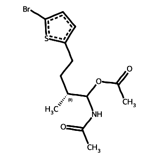 CC(=O)NC(OC(C)=O)[C@H](C)CCc1ccc(Br)s1